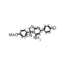 COc1ccc(C2(C#N)CSC3=NC(c4ccc(Cl)cc4)C=C(N)N32)cc1